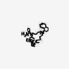 CCOC(=O)CCCN(CCCN(C(N)=O)c1ccc(Br)cc1)C1CCCc2ccccc21